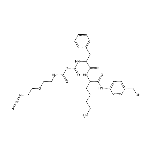 [N-]=[N+]=NCCOCCNC(=O)OC(=O)NC(Cc1ccccc1)C(=O)NC(CCCCN)C(=O)Nc1ccc(CO)cc1